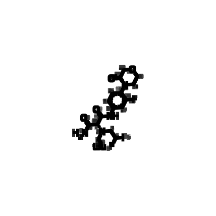 CC(C)(C)CN(CC(F)F)[C@H](C(N)=O)C(=O)Nc1ccc(N2CCOCC2=O)c(F)c1